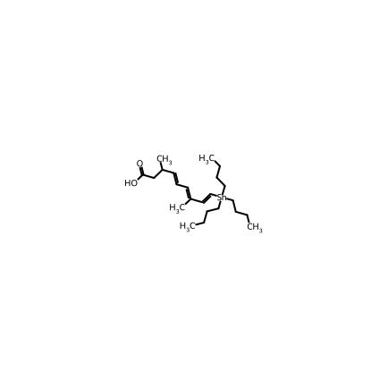 CCC[CH2][Sn]([CH]=CC(C)=CC=CC(C)CC(=O)O)([CH2]CCC)[CH2]CCC